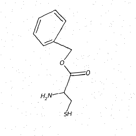 NC(CS)C(=O)OCc1ccccc1